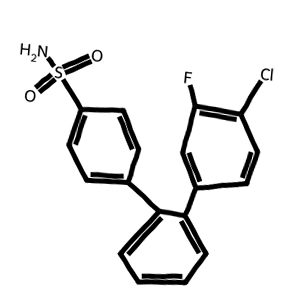 NS(=O)(=O)c1ccc(-c2ccccc2-c2ccc(Cl)c(F)c2)cc1